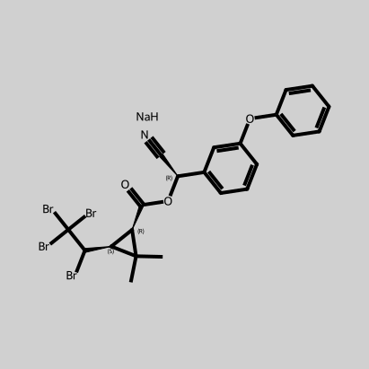 CC1(C)[C@H](C(=O)O[C@@H](C#N)c2cccc(Oc3ccccc3)c2)[C@@H]1C(Br)C(Br)(Br)Br.[NaH]